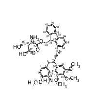 COc1ccc(/C=C(/C#N)c2cc(OC)c(OC)c(OC)c2)cc1N.NN(C(=O)OCC1c2ccccc2-c2ccccc21)[C@@H](CO)C(=O)O